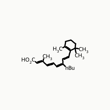 CCCCC(=C/C=C/C(C)=C/C(=O)O)/C=C/C1=C(C)CCCC1(C)C